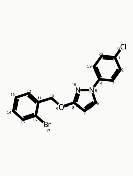 Clc1ccc(-n2ccc(OCc3ccccc3Br)n2)cc1